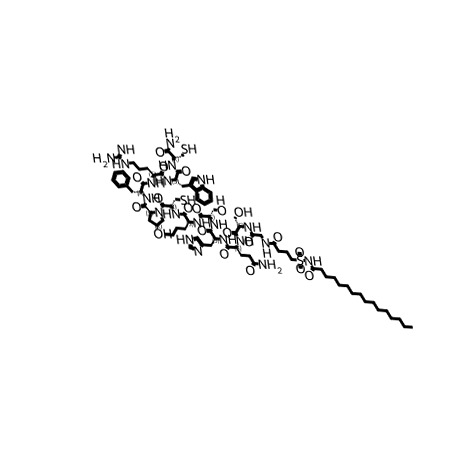 CCCCCCCCCCCCCCCC(=O)NS(=O)(=O)CCCC(=O)NCC(=O)N[C@@H](CO)C(=O)N[C@@H](CCC(N)=O)C(=O)N[C@@H](Cc1c[nH]cn1)C(=O)N[C@@H](CO)C(=O)N[C@@H](CCCC)C(=O)N[C@@H](CS)C(=O)N1C[C@H](O)C[C@H]1C(=O)N[C@H](Cc1ccccc1)C(=O)N[C@@H](CCCNC(=N)N)C(=O)N[C@@H](Cc1c[nH]c2ccccc12)C(=O)N[C@@H](CS)C(N)=O